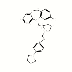 Clc1ccc2c(c1)N(C[C@H]1CCCN1CCc1ccc(N3CCCC3)cc1)c1ccccc1OC2